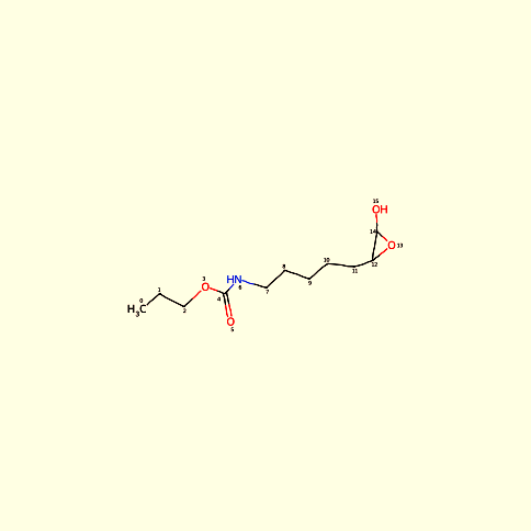 CCCOC(=O)NCCCCCC1OC1O